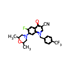 CC1CN(c2cc3c(cc2F)c(=O)c(C#N)cn3Cc2ccc(C(F)(F)F)cc2)CC(C)O1